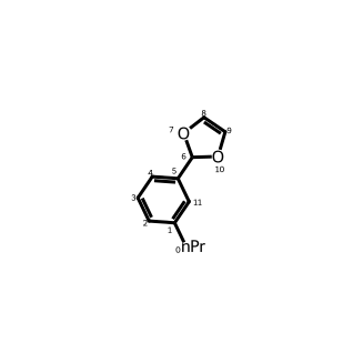 CCCc1cccc(C2OC=CO2)c1